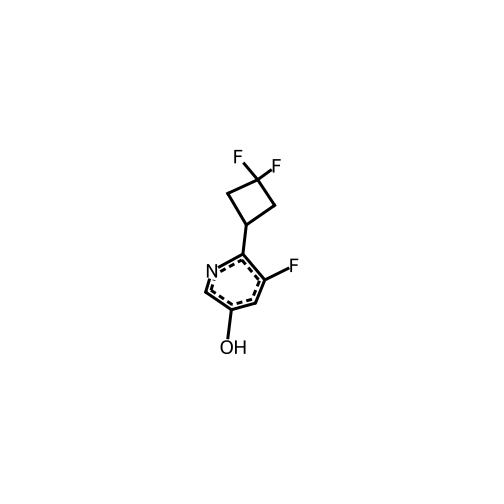 Oc1cnc(C2CC(F)(F)C2)c(F)c1